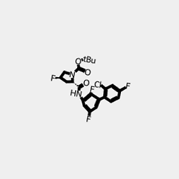 CC(C)(C)OC(=O)N1C[C@H](F)C[C@H]1C(=O)Nc1cc(F)cc(-c2ccc(F)cc2Cl)c1F